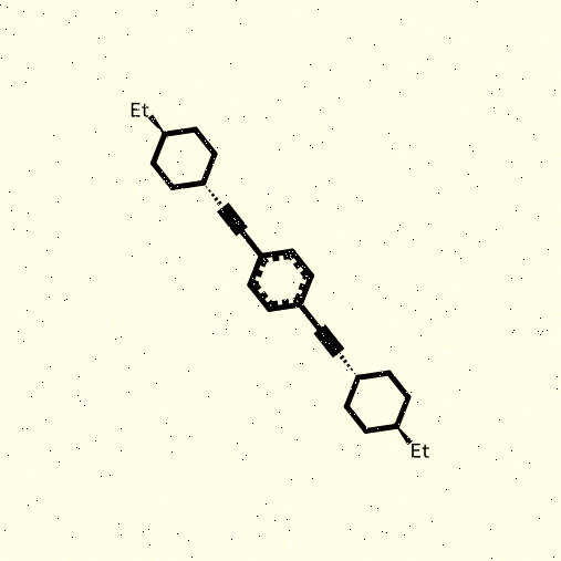 CC[C@H]1CC[C@H](C#Cc2ccc(C#C[C@H]3CC[C@H](CC)CC3)cc2)CC1